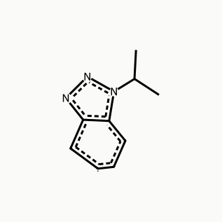 CC(C)n1nnc2c[c]ccc21